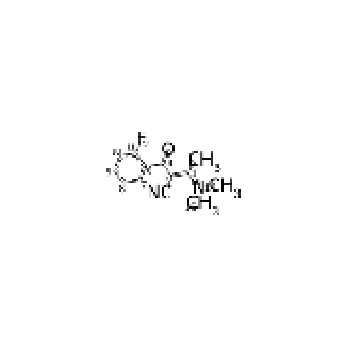 C/C(=C(/C#N)C(=O)c1ccccc1F)N(C)C